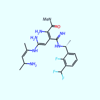 CNC(=O)/C(N)=C(/C=C(\N)N/C(C)=C\C(C)N)C(=N)N[C@H](C)c1cccc(C(F)F)c1F